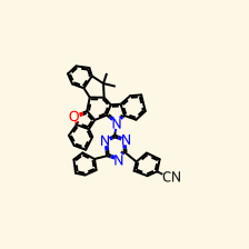 CC1(C)c2ccccc2-c2c1c1c3ccccc3n(-c3nc(-c4ccccc4)nc(-c4ccc(C#N)cc4)n3)c1c1c2oc2ccccc21